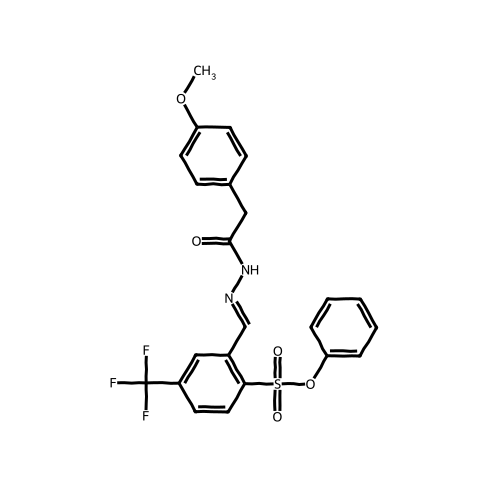 COc1ccc(CC(=O)NN=Cc2cc(C(F)(F)F)ccc2S(=O)(=O)Oc2ccccc2)cc1